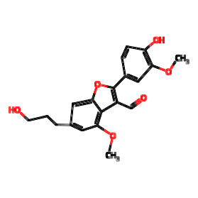 COc1cc(-c2oc3cc(CCCO)cc(OC)c3c2C=O)ccc1O